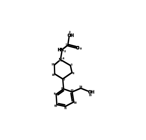 O=C(O)NN1CCC(c2ccccc2CO)CC1